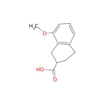 COc1cccc2c1CC(C(=O)O)CC2